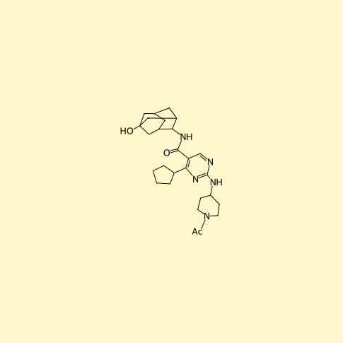 CC(=O)N1CCC(Nc2ncc(C(=O)NC3C4CC5CC3CC(O)(C5)C4)c(C3CCCC3)n2)CC1